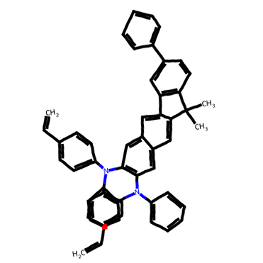 C=Cc1ccc(N(c2ccc(C=C)cc2)c2cc3cc4c(cc3cc2N(c2ccccc2)c2ccccc2)C(C)(C)c2ccc(-c3ccccc3)cc2-4)cc1